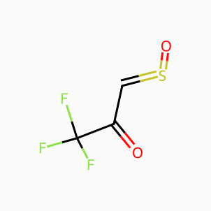 O=S=CC(=O)C(F)(F)F